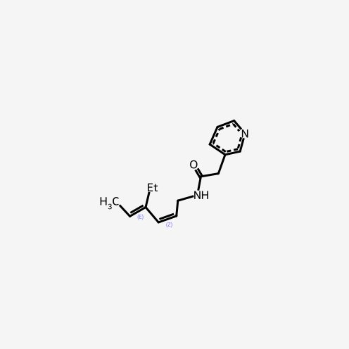 C/C=C(/C=C\CNC(=O)Cc1cccnc1)CC